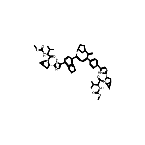 C=C1/C(c2ccc(-c3cnc([C@@H]4CC5CC5N4C(=O)[C@@H](NC(=O)OC)C(C)C)[nH]3)cc2)=C\C=C(\c2ccc(-c3cnc([C@@H]4CC5CC5N4C(=O)[C@@H](NC(=O)OC)C(C)C)[nH]3)c3c2C2CCC3C2)CC2CCC1C2